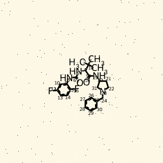 CC(C)(C)[C@H](NC(=O)Nc1cc(F)ccc1F)C(=O)N[C@H]1CCN(Cc2ccccc2)C1